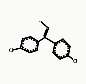 [CH2]C=C(c1ccc(Cl)cc1)c1ccc(Cl)cc1